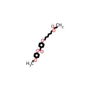 C=CC(=O)OCCCCCCOc1ccc(C(=O)Oc2ccc(OCC)cc2)cc1